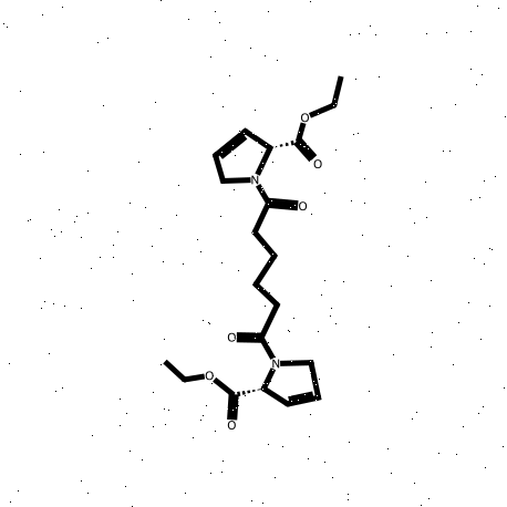 CCOC(=O)[C@H]1C=CCN1C(=O)CCCCC(=O)N1CC=C[C@@H]1C(=O)OCC